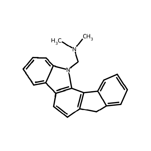 CN(C)Cn1c2ccccc2c2ccc3c(c21)-c1ccccc1C3